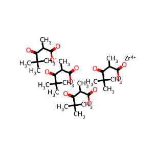 CC(C(=O)[O-])C(=O)C(C)(C)C.CC(C(=O)[O-])C(=O)C(C)(C)C.CC(C(=O)[O-])C(=O)C(C)(C)C.CC(C(=O)[O-])C(=O)C(C)(C)C.[Zr+4]